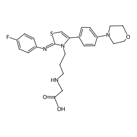 O=C(O)CNCCCn1c(-c2ccc(N3CCOCC3)cc2)csc1=Nc1ccc(F)cc1